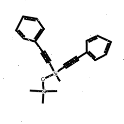 C[Si](C)(C)O[Si](C)(C#Cc1ccccc1)C#Cc1ccccc1